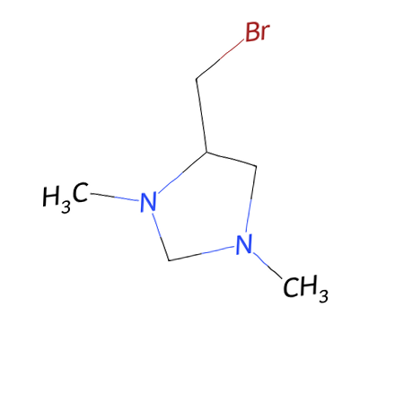 CN1CC(CBr)N(C)C1